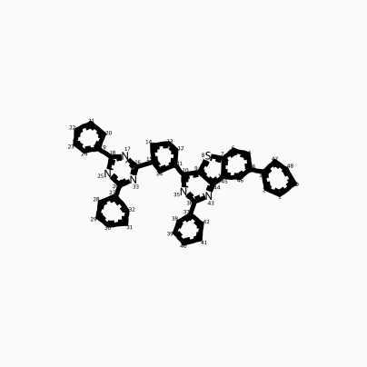 c1ccc(-c2ccc3sc4c(-c5cccc(-c6nc(-c7ccccc7)nc(-c7ccccc7)n6)c5)nc(-c5ccccc5)nc4c3c2)cc1